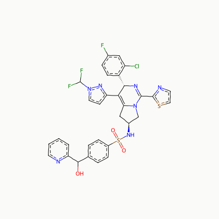 O=S(=O)(N[C@H]1CC2=C(c3ccn(C(F)F)n3)[C@H](c3ccc(F)cc3Cl)N=C(c3nccs3)N2C1)c1ccc(C(O)c2ccccn2)cc1